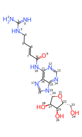 N=C(N)NCC/C=C/C(=O)Nc1ncnc2c1ncn2[C@@H]1O[C@H](CO)[C@@H](O)[C@H]1O